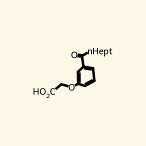 CCCCCCCC(=O)c1cccc(OCC(=O)O)c1